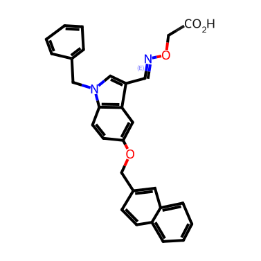 O=C(O)CO/N=C/c1cn(Cc2ccccc2)c2ccc(OCc3ccc4ccccc4c3)cc12